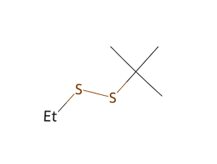 [CH2]CSSC(C)(C)C